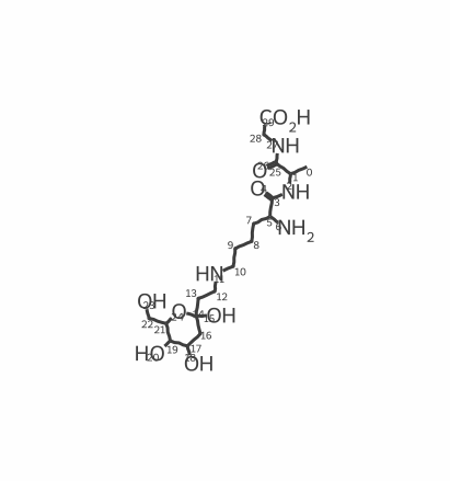 CC(NC(=O)C(N)CCCCNCCC1(O)CC(O)C(O)C(CO)O1)C(=O)NCC(=O)O